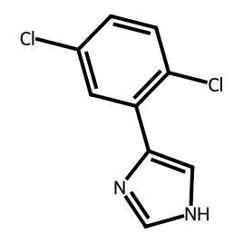 Clc1ccc(Cl)c(-c2c[nH]cn2)c1